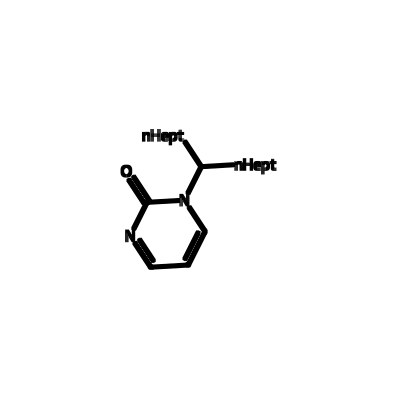 CCCCCCCC(CCCCCCC)n1cccnc1=O